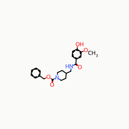 COc1cc(C(=O)NCC2CCN(C(=O)OCc3ccccc3)CC2)ccc1O